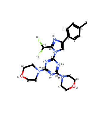 Cc1ccc(-c2cn(-c3nc(N4CCOCC4)nc(N4CCOCC4)n3)c(C(F)F)n2)cc1